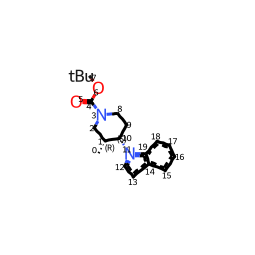 C[C@@H]1CN(C(=O)OC(C)(C)C)CC[C@@H]1n1ccc2ccccc21